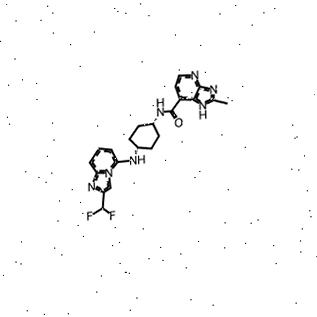 Cc1nc2nccc(C(=O)N[C@H]3CC[C@@H](Nc4cccc5nc(C(F)F)cn45)CC3)c2[nH]1